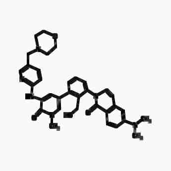 CN(C)c1ccc2c(=O)n(-c3cccc(-c4cc(Nc5ccc(CN6CCOCC6)cn5)c(=O)n(C)c4)c3CO)ccc2c1